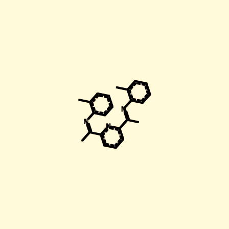 CC(=Nc1ccccc1C)c1cccc(C(C)=Nc2ccccc2C)n1